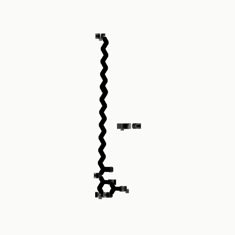 CCCCCCCCC=CCCCCCCCCCCCC(=O)NC(CC)NC(C)O.Cl.Cl.N